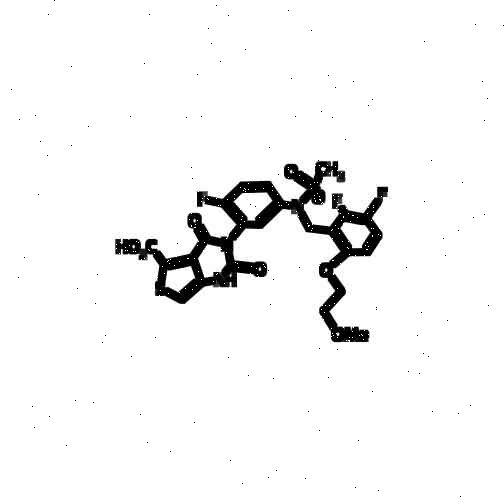 COCCOc1ccc(F)c(F)c1CN(c1ccc(F)c(-n2c(=O)[nH]c3csc(C(=O)O)c3c2=O)c1)S(C)(=O)=O